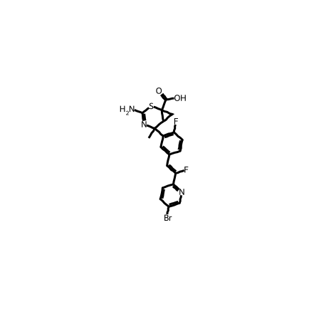 CC1(c2cc(/C=C(\F)c3ccc(Br)cn3)ccc2F)N=C(N)SC2(C(=O)O)CC21